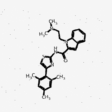 Cc1cc(C)c(-c2csc(NC(=O)c3cc4ccccc4n3CCN(C)C)n2)c(C)c1